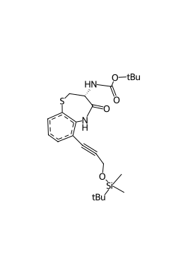 CC(C)(C)OC(=O)N[C@H]1CSc2cccc(C#CCO[Si](C)(C)C(C)(C)C)c2NC1=O